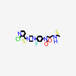 CC(=S)NCC1CN(c2ccc(N3CCN(C(=S)c4cccnc4Cl)CC3)c(F)c2)C(=O)O1